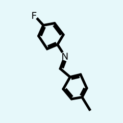 Cc1ccc(/C=N/c2ccc(F)cc2)cc1